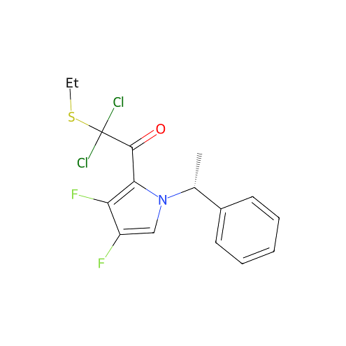 CCSC(Cl)(Cl)C(=O)c1c(F)c(F)cn1[C@H](C)c1ccccc1